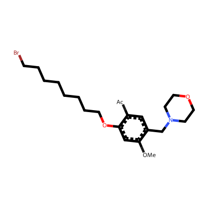 COc1cc(OCCCCCCCCBr)c(C(C)=O)cc1CN1CCOCC1